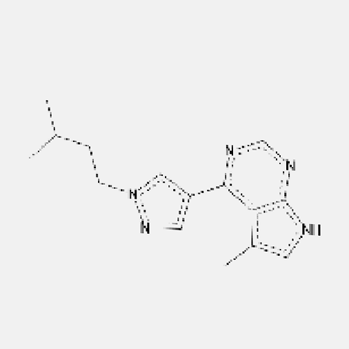 Cc1c[nH]c2ncnc(-c3cnn(CCC(C)C)c3)c12